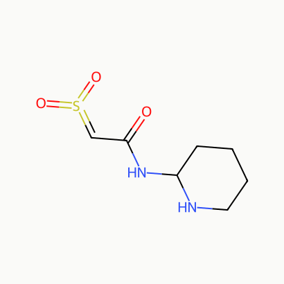 O=C(C=S(=O)=O)NC1CCCCN1